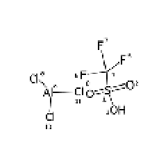 O=S(=O)(O)C(F)(F)F.[Cl][Al]([Cl])[Cl]